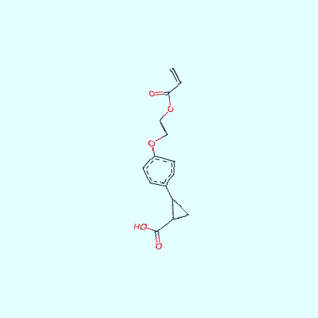 C=CC(=O)OCCOc1ccc(C2CC2C(=O)O)cc1